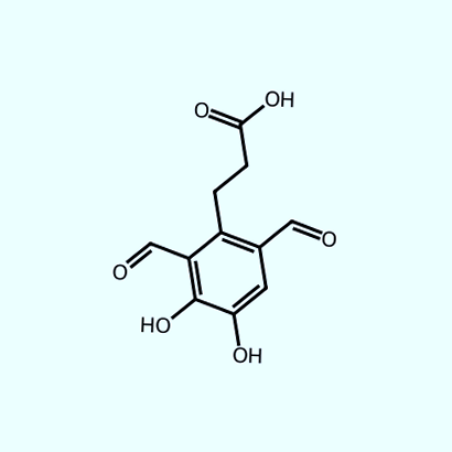 O=Cc1cc(O)c(O)c(C=O)c1CCC(=O)O